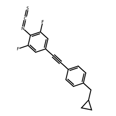 Fc1cc(C#Cc2ccc(CC3CC3)cc2)cc(F)c1N=C=S